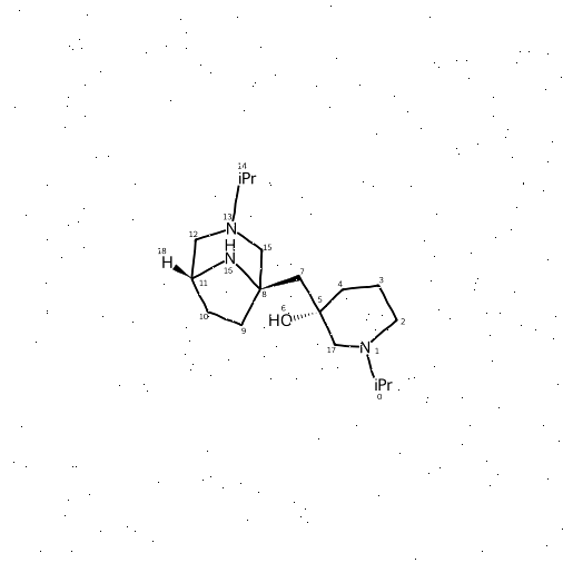 CC(C)N1CCC[C@](O)(C[C@]23CC[C@H](CN(C(C)C)C2)N3)C1